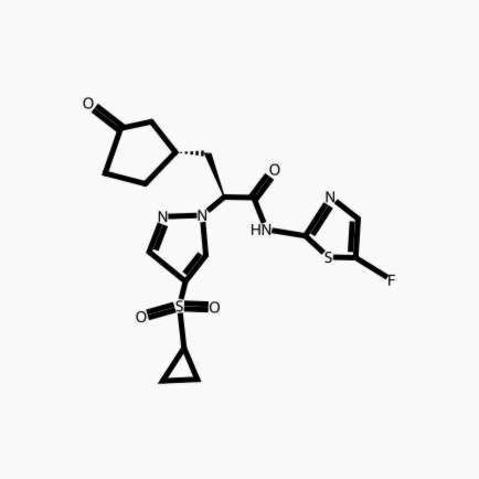 O=C1CC[C@@H](C[C@@H](C(=O)Nc2ncc(F)s2)n2cc(S(=O)(=O)C3CC3)cn2)C1